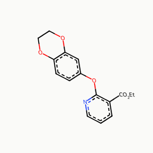 CCOC(=O)c1cccnc1Oc1ccc2c(c1)OCCO2